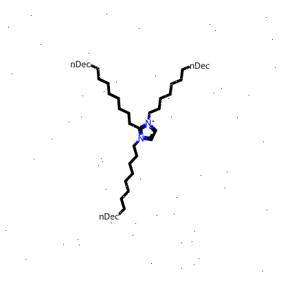 CCCCCCCCCCCCCCCCCCc1n(CCCCCCCCCCCCCCCCCC)cc[n+]1CCCCCCCCCCCCCCCCC